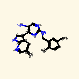 Cc1ccc(C)c(CNc2ncc(N)c(-c3c[nH]c4ncc(C(F)(F)F)cc34)n2)c1